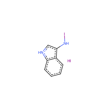 I.INc1c[nH]c2ccccc12